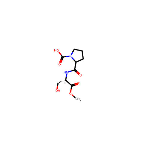 COC(=O)[C@H](CO)NC(=O)C1CCCN1C(=O)O